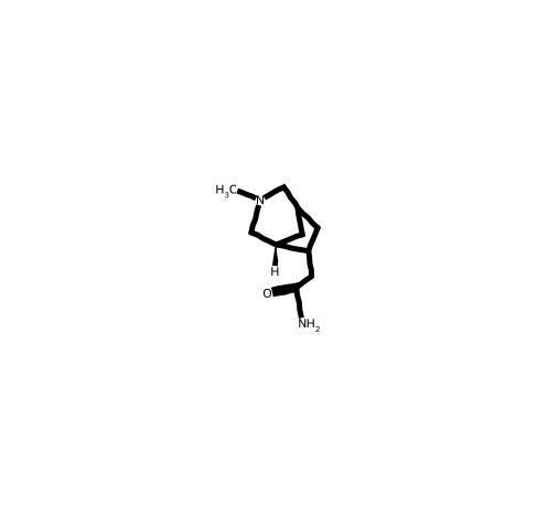 CN1CC2CC(CC(N)=O)[C@@H](C2)C1